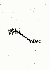 CCCCCCCCCCCCCCCCCCCCCCC(CC)NC(O)CC